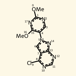 COc1ncc(-n2cc3c(Cl)ncnc3n2)c(OC)n1